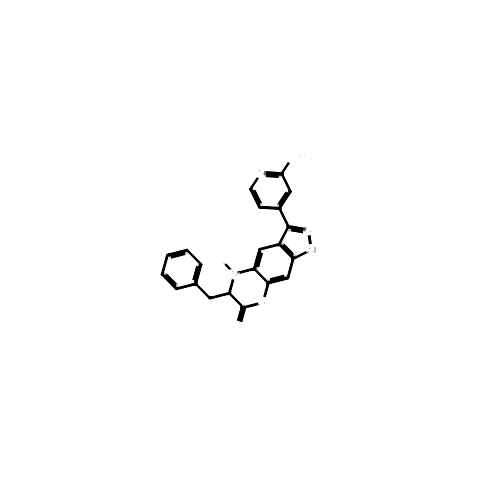 COc1cc(-c2n[nH]c3cc4c(cc23)N(C)C(Cc2ccccc2)C(=O)N4)ccn1